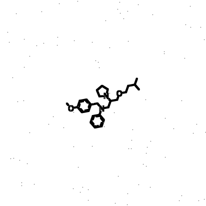 COc1ccc(CN(CC(COCCC(C)C)N2CCCC2)c2ccccc2)cc1